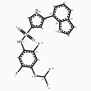 O=S(=O)(Nc1cc(F)c(OC(F)F)cc1F)c1c[nH]c(-c2cccc3ccoc23)c1